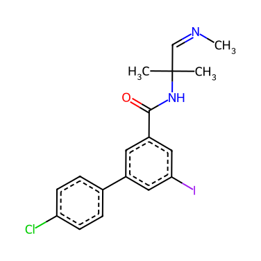 C/N=C\C(C)(C)NC(=O)c1cc(I)cc(-c2ccc(Cl)cc2)c1